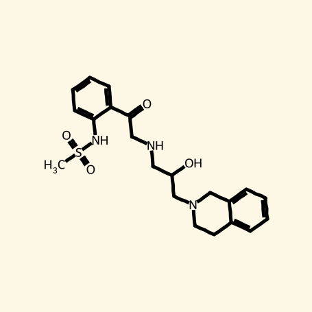 CS(=O)(=O)Nc1ccccc1C(=O)CNCC(O)CN1CCc2ccccc2C1